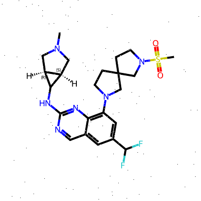 CN1C[C@@H]2C(Nc3ncc4cc(C(F)F)cc(N5CCC6(CCN(S(C)(=O)=O)C6)C5)c4n3)[C@@H]2C1